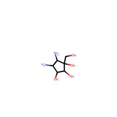 NC1C(O)C(O)C(O)(CO)C1N